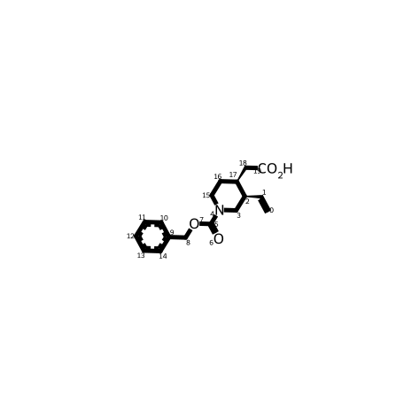 C=C[C@H]1CN(C(=O)OCc2ccccc2)CC[C@H]1CC(=O)O